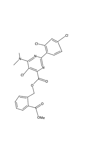 COC(=O)c1ccccc1COC(=O)c1nc(-c2ccc(Cl)cc2Cl)nc(N(C)C)c1Cl